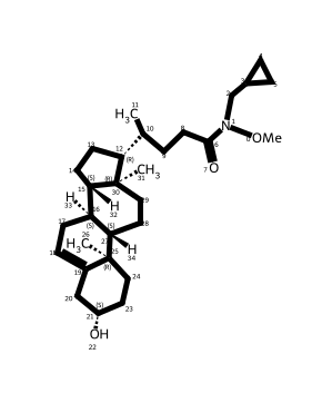 CON(CC1CC1)C(=O)CCC(C)[C@H]1CC[C@H]2[C@@H]3CC=C4C[C@@H](O)CC[C@]4(C)[C@H]3CC[C@]12C